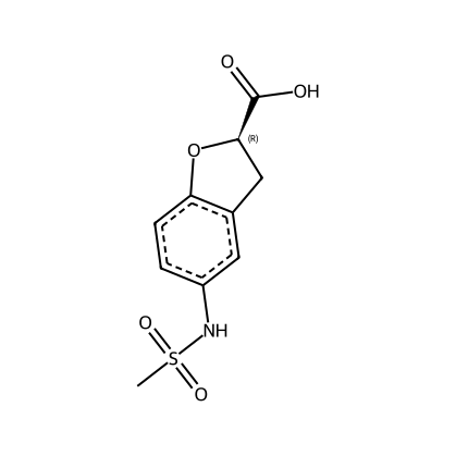 CS(=O)(=O)Nc1ccc2c(c1)C[C@H](C(=O)O)O2